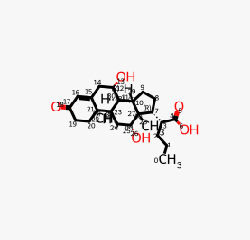 CCCC(C(=O)O)[C@H]1CC[C@H]2[C@@H]3[C@H](O)CC4=CC(=O)CC[C@]4(C)[C@H]3C[C@@H](O)[C@@]12C